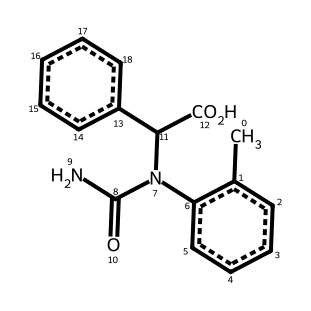 Cc1ccccc1N(C(N)=O)C(C(=O)O)c1ccccc1